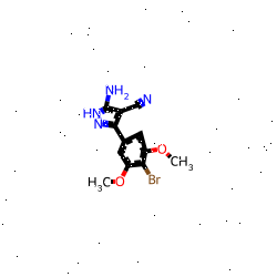 COc1cc(-c2n[nH]c(N)c2C#N)cc(OC)c1Br